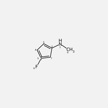 CNC1=CC=I(F)=C1